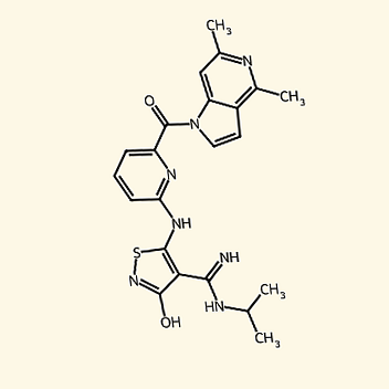 Cc1cc2c(ccn2C(=O)c2cccc(Nc3snc(O)c3C(=N)NC(C)C)n2)c(C)n1